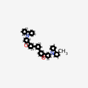 CC1CC=Cc2c1c1ccccc1n2-c1ccc2oc3ccc(-c4cccc(-c5ccc6oc7ccc(-n8c9ccccc9c9ccccc98)cc7c6c5)c4)cc3c2c1